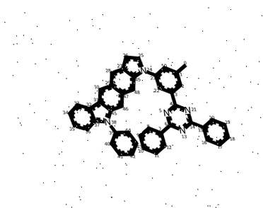 Cc1cc(-c2nc(-c3ccccc3)nc(-c3ccccc3)n2)cc(-n2ccc3cc4cc5c6ccccc6n(-c6ccccc6)c5cc4cc32)c1